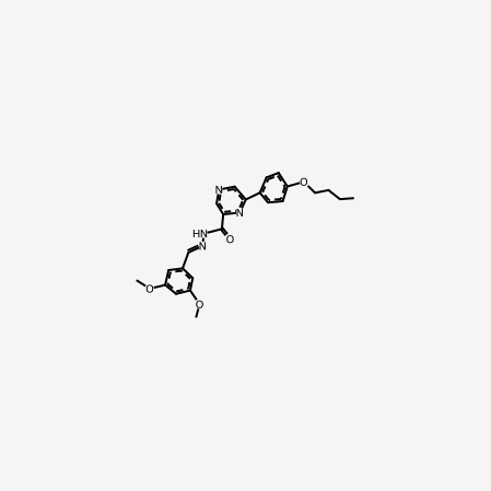 CCCCOc1ccc(-c2cncc(C(=O)NN=Cc3cc(OC)cc(OC)c3)n2)cc1